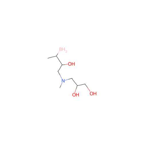 BC(C)C(O)CN(C)CC(O)CO